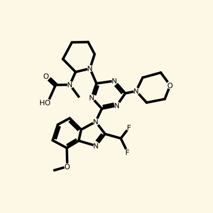 COc1cccc2c1nc(C(F)F)n2-c1nc(N2CCOCC2)nc(N2CCCCC2N(C)C(=O)O)n1